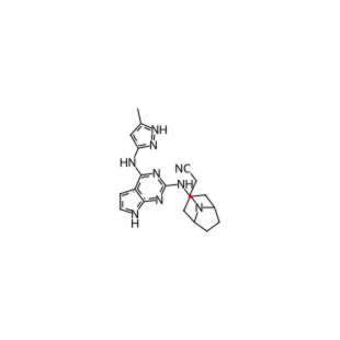 Cc1cc(Nc2nc(NC3CC4CCC(C3)N4CCC#N)nc3[nH]ccc23)n[nH]1